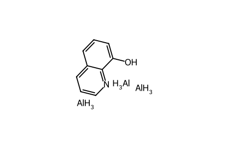 Oc1cccc2cccnc12.[AlH3].[AlH3].[AlH3]